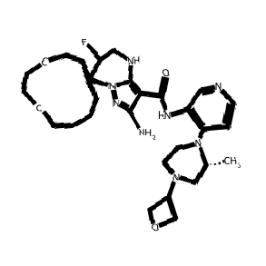 C[C@@H]1CN(C2COC2)CCN1c1ccncc1NC(=O)c1c(N)nn2c1NCC(F)C21CCCCCCCCCC1